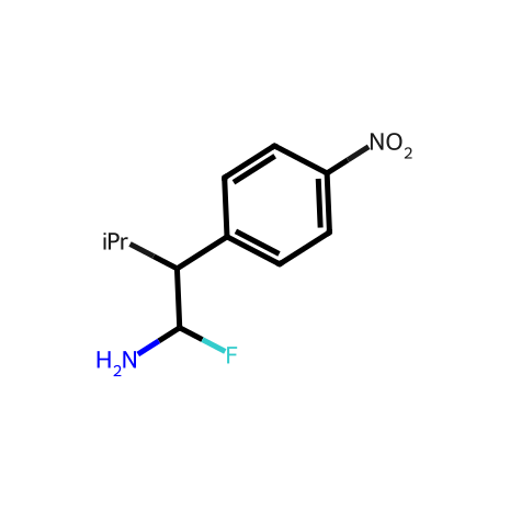 CC(C)C(c1ccc([N+](=O)[O-])cc1)C(N)F